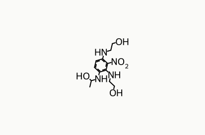 CC(O)Nc1ccc(NCCO)c([N+](=O)[O-])c1NCCO